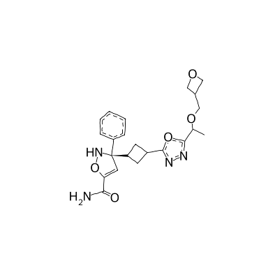 CC(OCC1COC1)c1nnc(C2CC([C@@]3(c4ccccc4)C=C(C(N)=O)ON3)C2)o1